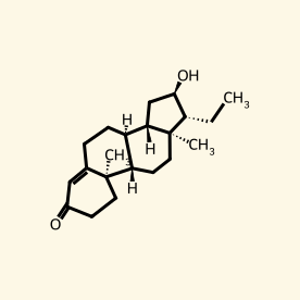 CC[C@H]1[C@H](O)C[C@H]2[C@@H]3CCC4=CC(=O)CC[C@]4(C)[C@H]3CC[C@@]21C